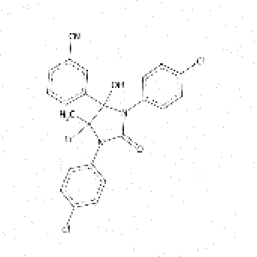 CCC1(C)N(c2ccc(Cl)cc2)C(=O)N(c2ccc(Cl)cc2)C1(O)c1cccc(C#N)c1